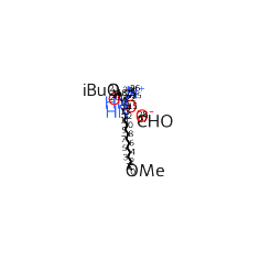 COCCCCCCCCCCCCNC(=O)N[C@H](CC(=O)OCC(C)C)C[N+](C)(C)C.O=C[O-]